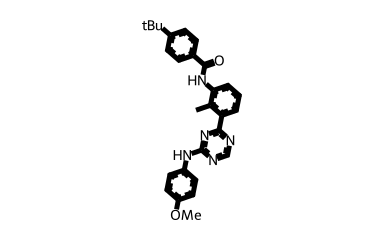 COc1ccc(Nc2ncnc(-c3cccc(NC(=O)c4ccc(C(C)(C)C)cc4)c3C)n2)cc1